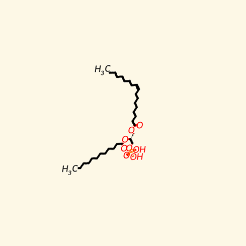 CCCCCCCC/C=C\CCCCCCCC(=O)OC[C@H](COP(=O)(O)O)OC(=O)CCCCCCCCCCC